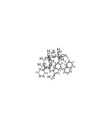 CC1=Cc2c(-c3cccc4ccccc34)cccc2C1C[Si](=O)N(C)C1CCCCC1.C[Si](C)(C)C#C[Si](C)(C)C.[Ti]